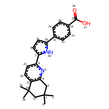 CC1(C)Cc2nc(-c3ccc(-c4ccc(C(=O)O)cc4)[nH]3)ccc2C(C)(C)C1